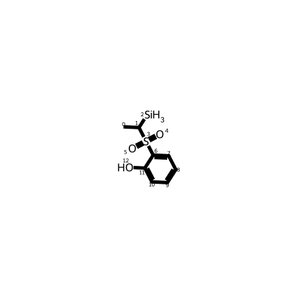 CC([SiH3])S(=O)(=O)c1ccccc1O